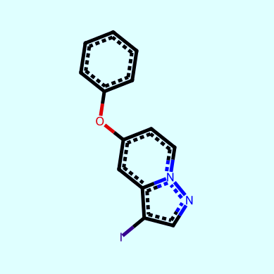 Ic1cnn2ccc(Oc3ccccc3)cc12